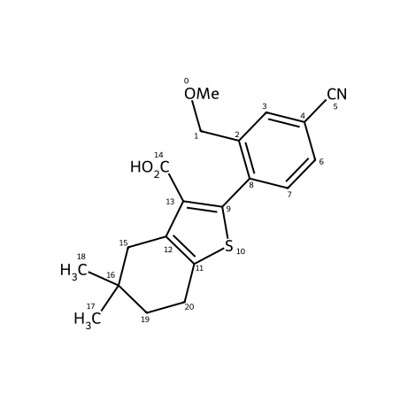 COCc1cc(C#N)ccc1-c1sc2c(c1C(=O)O)CC(C)(C)CC2